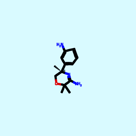 CC1(C)OC[C@@](C)(c2cccc(N)c2)N=C1N